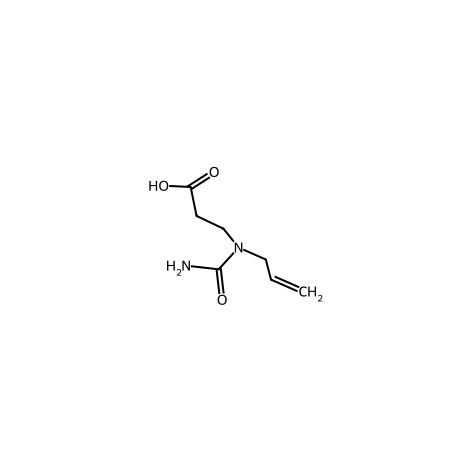 C=CCN(CCC(=O)O)C(N)=O